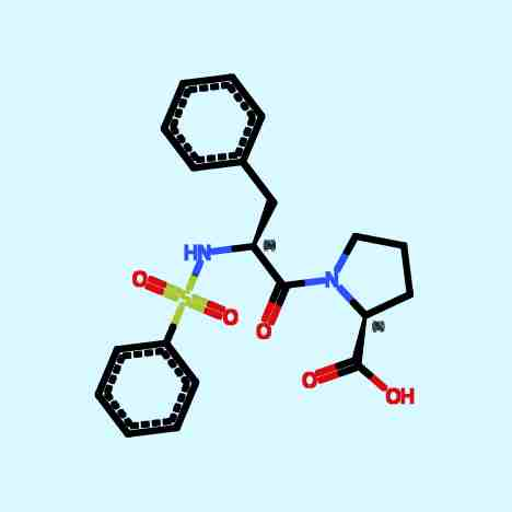 O=C(O)[C@@H]1CCCN1C(=O)[C@H](Cc1ccccc1)NS(=O)(=O)c1ccccc1